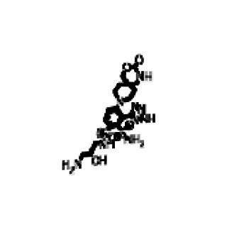 NC[C@@H](O)CNS(=O)(=O)c1ccc(N2CCC3(CC2)CNC(=O)OC3)c(-c2nn[nH]n2)c1S(N)(=O)=O